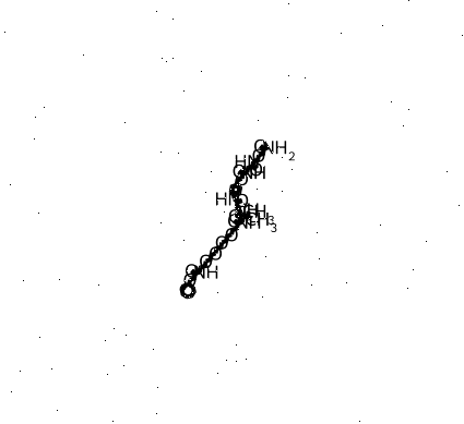 CC(C)C(NC(=O)CCOCCOCCOCCOCCNC(=O)COC1C#CCCCCC1)C(=O)NCC(=O)Nc1ccc(COC(=O)NCC(=O)NCOCC(N)=O)cc1